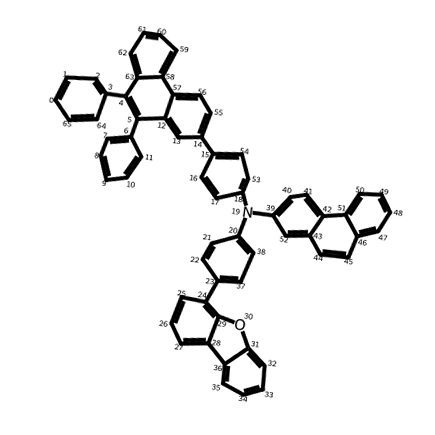 c1ccc(-c2c(-c3ccccc3)c3cc(-c4ccc(N(c5ccc(-c6cccc7c6oc6ccccc67)cc5)c5ccc6c(ccc7ccccc76)c5)cc4)ccc3c3ccccc23)cc1